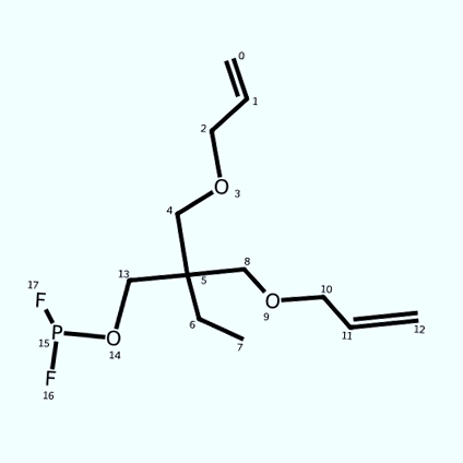 C=CCOCC(CC)(COCC=C)COP(F)F